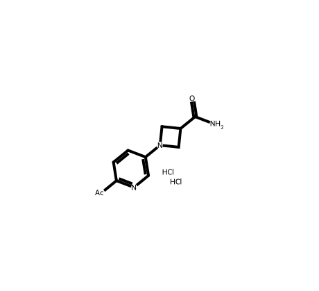 CC(=O)c1ccc(N2CC(C(N)=O)C2)cn1.Cl.Cl